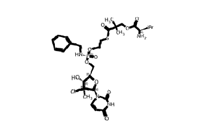 CC(C)[C@@H](N)C(=O)OCC(C)(C)C(=O)SCCO[P@](=O)(NCc1ccccc1)OC[C@H]1O[C@@H](n2ccc(=O)[nH]c2=O)[C@](C)(Cl)[C@@H]1O